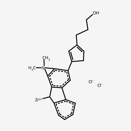 C[Si]1(C)c2c(C3=CC(CCCO)=CC3)cc3c(c21)[CH]([Zr+2])c1ccccc1-3.[Cl-].[Cl-]